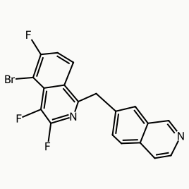 Fc1ccc2c(Cc3ccc4ccncc4c3)nc(F)c(F)c2c1Br